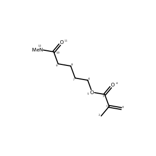 C=C(C)C(=O)OCCCCC(=O)NC